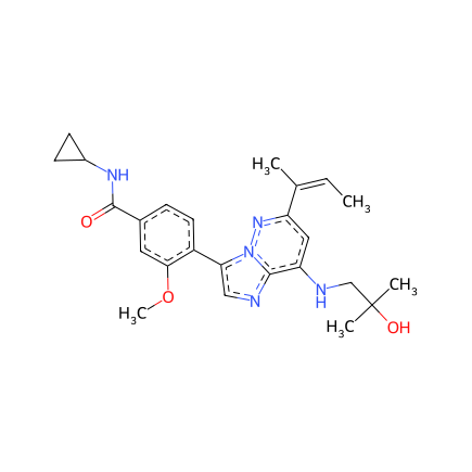 C/C=C(/C)c1cc(NCC(C)(C)O)c2ncc(-c3ccc(C(=O)NC4CC4)cc3OC)n2n1